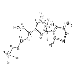 C[C@]1(c2cc(N)cnc2F)N=C(N(COCC[Si](C)(C)C)C(=O)O)S[C@H]2C[C@H]21